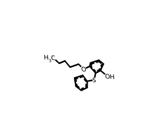 CCCCCOc1cccc(O)c1Sc1ccccc1